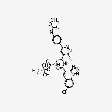 COC(=O)Nc1ccc(-c2cc(C(CNC(=O)OC(C)(C)C)NC(=O)/C=C/c3cc(Cl)ccc3-n3cnnn3)c(Cl)nn2)cc1